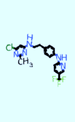 Cc1nc(Cl)cc(NCCc2ccc(Nc3ccc(C(F)(F)F)cn3)cc2)n1